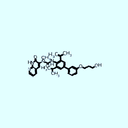 CC(C)c1cc(-c2cccc(OCCCO)c2)cc(C(C)C)c1NC(=O)N(C)c1cc2cccnc2[nH]c1=O